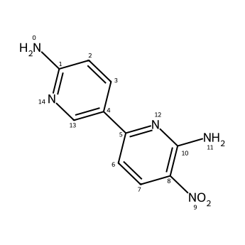 Nc1ccc(-c2ccc([N+](=O)[O-])c(N)n2)cn1